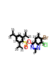 Cc1nc(OS(=O)c2c(C(C)C)cc(C(C)C)cc2C(C)C)c2cc(C)c(Br)c(Cl)c2n1